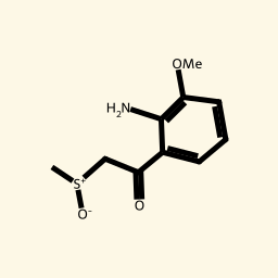 COc1cccc(C(=O)C[S+](C)[O-])c1N